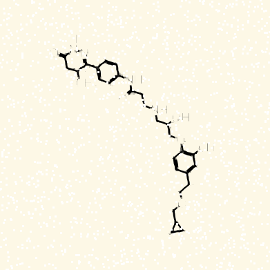 Cc1cc(CCOCC2CC2)ccc1OCC(O)CNCCC(=O)Nc1ccc(C2=NNC(=O)CC2C)cc1